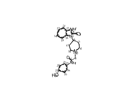 O=C(CN1CCC(n2c(=O)[nH]c3ccccc32)CC1)Nc1ccc(O)cc1